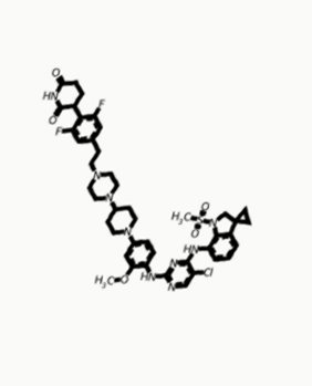 COc1cc(N2CCC(N3CCN(CCc4cc(F)c(C5CCC(=O)NC5=O)c(F)c4)CC3)CC2)ccc1Nc1ncc(Cl)c(Nc2cccc3c2N(S(C)(=O)=O)CC32CC2)n1